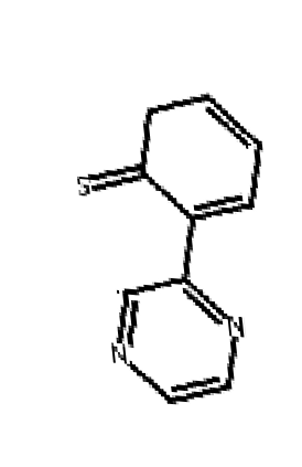 S=C1CC=CC=C1c1[c]nccn1